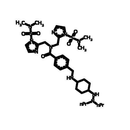 CCCN(CCC)NC1CCC(NCc2ccc(C(=O)N(Cc3nccn3S(=O)(=O)N(C)C)Cc3nccn3S(=O)(=O)N(C)C)cc2)CC1